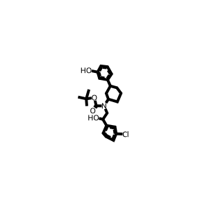 CC(C)(C)OC(=O)N(CC(O)c1cccc(Cl)c1)C1CCCC(c2cccc(O)c2)C1